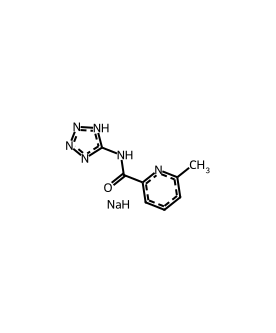 Cc1cccc(C(=O)Nc2nnn[nH]2)n1.[NaH]